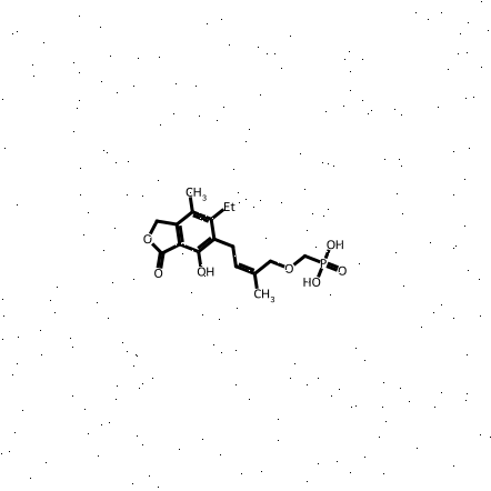 CCc1c(C)c2c(c(O)c1CC=C(C)COCP(=O)(O)O)C(=O)OC2